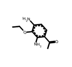 CCOc1c(N)ccc(C(C)=O)c1N